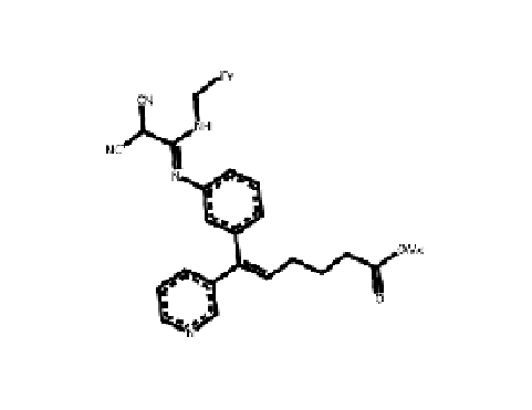 COC(=O)CCC/C=C(/c1cccnc1)c1cccc(N=C(NCC(C)C)C(C#N)C#N)c1